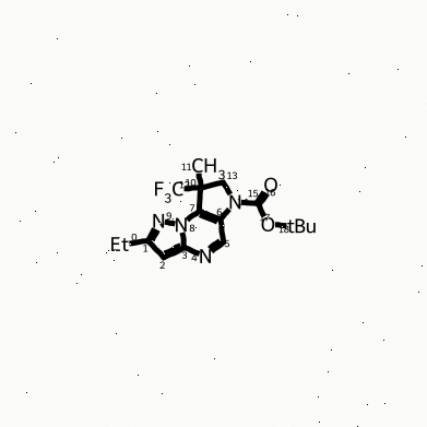 CCc1cc2ncc3c(n2n1)C(C)(C(F)(F)F)CN3C(=O)OC(C)(C)C